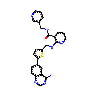 Nc1ncnc2ccc(-c3ccc(CNc4ncccc4C(=O)NCc4cccnc4)s3)cc12